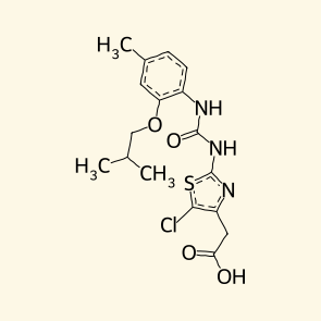 Cc1ccc(NC(=O)Nc2nc(CC(=O)O)c(Cl)s2)c(OCC(C)C)c1